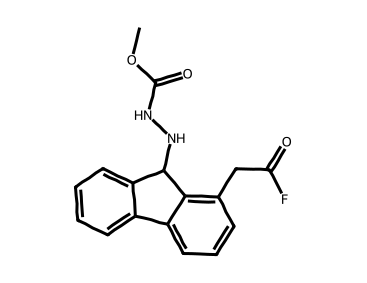 COC(=O)NNC1c2ccccc2-c2cccc(CC(=O)F)c21